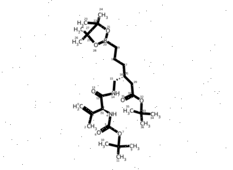 C=C(C)[C@H](NC(=O)OC(C)(C)C)C(=O)NC[C@H](CCCB1OC(C)(C)C(C)(C)O1)CC(=O)OC(C)(C)C